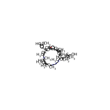 CO[C@@H]1C[C@H](C[C@@H](C)[C@@H]2CC(=O)[C@H](C)/C=C(\C)[C@@H](O)[C@@H](OC)C(=O)[C@H](C)C[C@H](C)/C=C/C=C/C=C(\C)C(OC(C)(C)CCS(=O)(=O)C(C)(C)CCO)C[C@@H]3CC[C@@H](C)[C@@](O)(O3)C(=O)C(=O)N3CCCC[C@H]3C(=O)O2)CC[C@H]1O